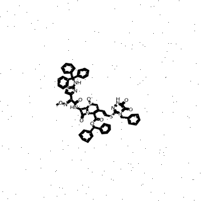 CON=C(C(=O)NC1C(=O)N2C(C(=O)OC(c3ccccc3)c3ccccc3)=C(C=CSc3n[nH]c(=O)c(=O)n3Cc3ccccc3)C[S+]([O-])C12)c1csc(NC(c2ccccc2)(c2ccccc2)c2ccccc2)n1